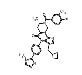 C[C@H]1Cc2c(n3ncc(CC4CCC4)c3n(-c3ccc(-c4nncn4C)cc3)c2=O)CN1C(=O)c1ccc(Br)c(C(F)(F)F)c1